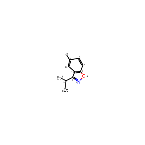 CCC(CC)c1noc2ccc(C)cc12